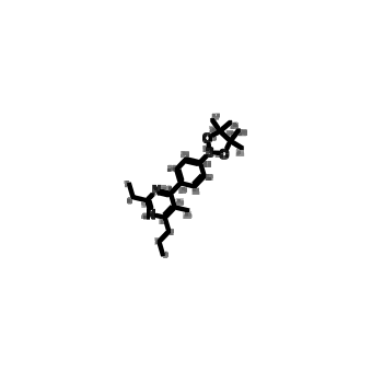 CCCc1nc(CC)nc(-c2ccc(B3OC(C)(C)C(C)(C)O3)cc2)c1C